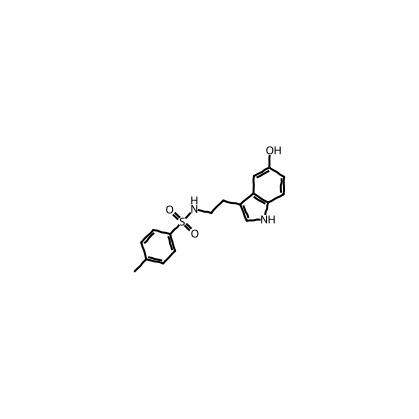 Cc1ccc(S(=O)(=O)NCCc2c[nH]c3ccc(O)cc23)cc1